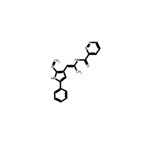 C=Nc1[nH]c(-c2ccccc2)cc1/C=C(\C)NC(=O)c1cccnn1